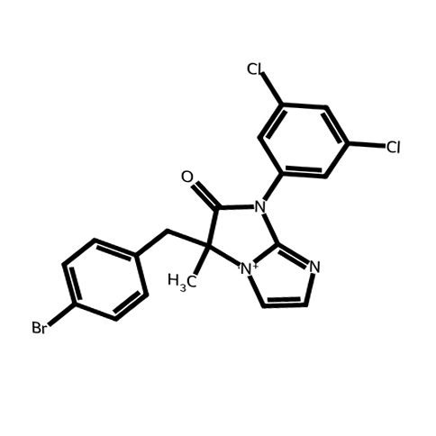 CC1(Cc2ccc(Br)cc2)C(=O)N(c2cc(Cl)cc(Cl)c2)C2=NC=C[N+]21